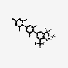 Cc1cc(C)c(-c2cc(C)c(-c3cc(C(F)(F)F)c(N=C=S)c(C(F)(F)F)c3)c(C)c2)c(C)c1